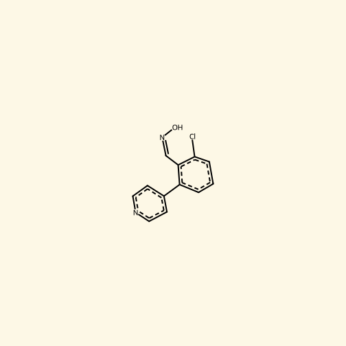 O/N=C\c1c(Cl)cccc1-c1ccncc1